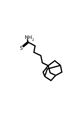 NC(=S)CCCCC12CC3CC(CC(C3)C1)C2